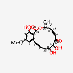 COc1cc(O)c2c(c1)C=CC[C@H](O)[C@H](O)C(=O)C=CC[C@@H](C)OC2=O